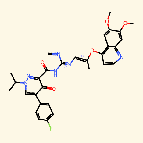 C=N/C(=N\C=C(/C)Oc1ccnc2cc(OC)c(OC)cc12)NC(=O)c1nn(C(C)C)cc(-c2ccc(F)cc2)c1=O